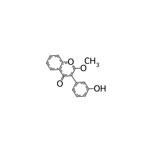 COc1oc2ccccc2c(=O)c1-c1cccc(O)c1